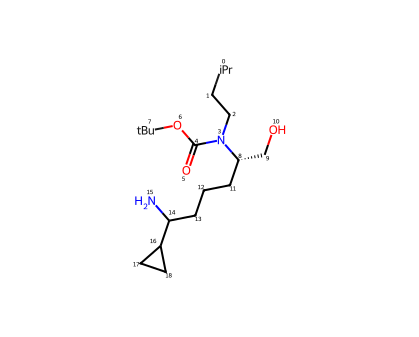 CC(C)CCN(C(=O)OC(C)(C)C)[C@H](CO)CCCC(N)C1CC1